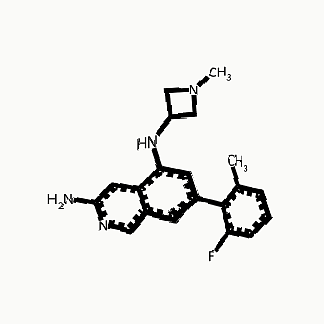 Cc1cccc(F)c1-c1cc(NC2CN(C)C2)c2cc(N)ncc2c1